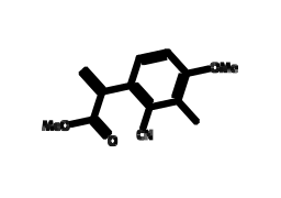 C=C(C(=O)OC)c1ccc(OC)c(C)c1C#N